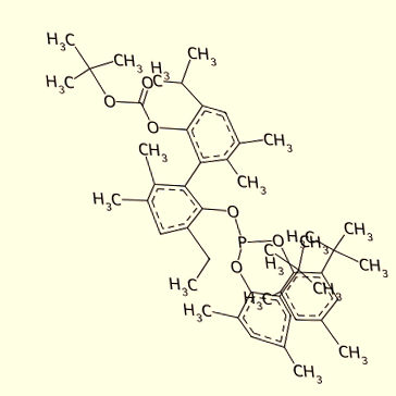 CCc1cc(C)c(C)c(-c2c(C)c(C)cc(C(C)C)c2OC(=O)OC(C)(C)C)c1OP(Oc1c(C)cc(C)cc1C(C)(C)C)Oc1c(C)cc(C)cc1C(C)(C)C